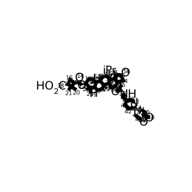 CC(C)C1=C2[C@H]3CC[C@@H]4[C@@]5(C)CC[C@H](OC(=O)[C@H]6C[C@@H](C(=O)O)C6(C)C)C(C)(C)[C@@H]5CC[C@@]4(C)[C@]3(C)CC[C@@]2(CC(=O)NCc2ccc(N3CCS(=O)(=O)CC3)nc2)CC1=O